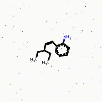 CCC(/C=C\c1ccccc1N)CC